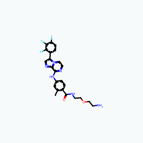 Cc1cc(Nc2nccn3c(-c4ccc(F)c(F)c4F)cnc23)ccc1C(=O)NCCOCCN